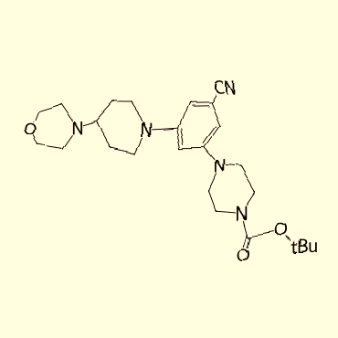 CC(C)(C)OC(=O)N1CCN(c2cc(C#N)cc(N3CCC(N4CCOCC4)CC3)c2)CC1